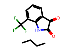 CCCC.O=C1Nc2c(cccc2C(F)(F)F)C1=O